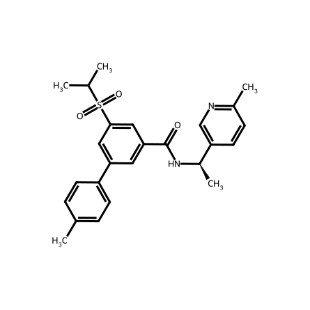 Cc1ccc(-c2cc(C(=O)N[C@H](C)c3ccc(C)nc3)cc(S(=O)(=O)C(C)C)c2)cc1